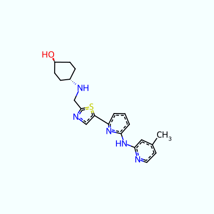 Cc1ccnc(Nc2cccc(-c3cnc(CN[C@H]4CC[C@H](O)CC4)s3)n2)c1